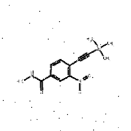 CNC(=O)c1ccc(C#C[Si](C)(C)C)c([N+](=O)[O-])c1